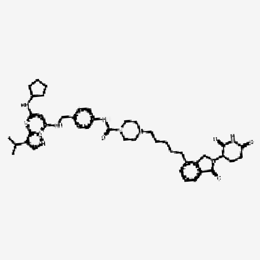 CC(C)c1cnn2c(NCc3ccc(NC(=O)N4CCN(CCCCCc5cccc6c5CN(C5CCC(=O)NC5=O)C6=O)CC4)cc3)cc(NC3CCCC3)nc12